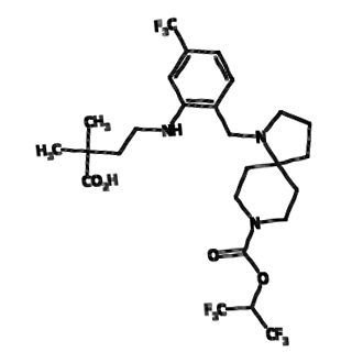 CC(C)(CCNc1cc(C(F)(F)F)ccc1CN1CCCC12CCN(C(=O)OC(C(F)(F)F)C(F)(F)F)CC2)C(=O)O